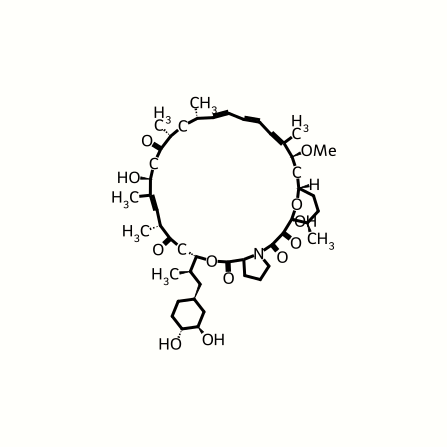 CO[C@H]1C[C@@H]2CC[C@@H](C)[C@@](O)(O2)C(=O)C(=O)N2CCCC2C(=O)O[C@H]([C@H](C)C[C@@H]2CC[C@@H](O)[C@H](O)C2)CC(=O)[C@H](C)/C=C(\C)[C@@H](O)CC(=O)[C@H](C)C[C@H](C)/C=C/C=C/C=C/1C